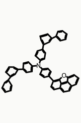 c1ccc(-c2cccc(-c3ccc(N(c4ccc(-c5cccc(-c6ccccc6)c5)cc4)c4ccc(-c5ccc6ccc7cccc8oc5c6c78)cc4)cc3)c2)cc1